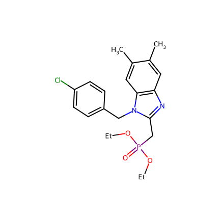 CCOP(=O)(Cc1nc2cc(C)c(C)cc2n1Cc1ccc(Cl)cc1)OCC